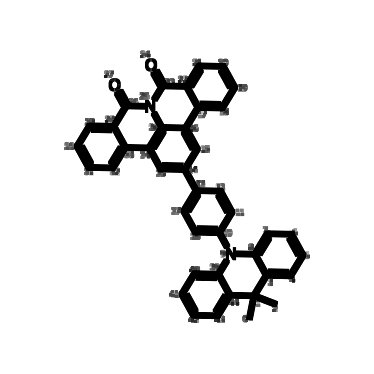 CC1(C)c2ccccc2N(c2ccc(-c3cc4c5ccccc5c(=O)n5c(=O)c6ccccc6c(c3)c45)cc2)c2ccccc21